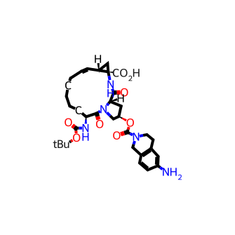 CC(C)(C)OC(=O)N[C@H]1CCCCCC=C[C@@H]2C[C@@]2(C(=O)O)NC(=O)[C@@H]2C[C@@H](OC(=O)N3CCc4cc(N)ccc4C3)CN2C1=O